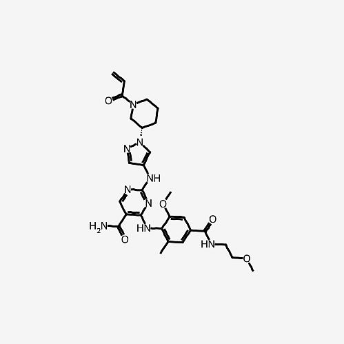 C=CC(=O)N1CCC[C@H](n2cc(Nc3ncc(C(N)=O)c(Nc4c(C)cc(C(=O)NCCOC)cc4OC)n3)cn2)C1